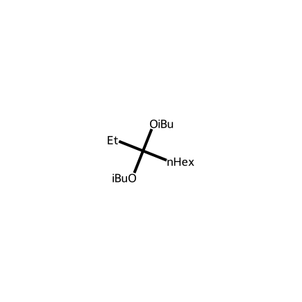 CCCCCCC(CC)(OCC(C)C)OCC(C)C